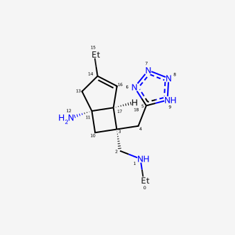 CCNC[C@]1(Cc2nnn[nH]2)C[C@@]2(N)CC(CC)=C[C@H]21